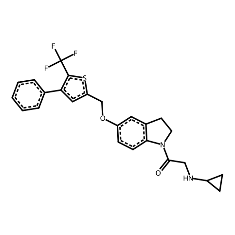 O=C(CNC1CC1)N1CCc2cc(OCc3cc(-c4ccccc4)c(C(F)(F)F)s3)ccc21